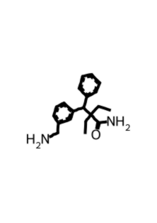 CCC(CC)(C(N)=O)C(c1ccccc1)c1cccc(CN)c1